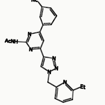 CCc1cccc(Cn2cc(-c3cc(-c4cccc(C#N)c4)nc(NC(C)=O)n3)nn2)n1